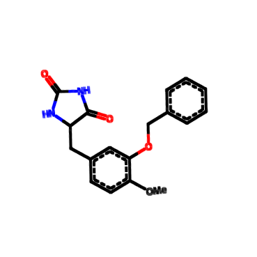 COc1ccc(CC2NC(=O)NC2=O)cc1OCc1ccccc1